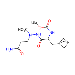 CC(C)(C)OC(=O)NC(CC12CC(C1)C2)C(=O)NN(CCC(N)=O)C(=O)O